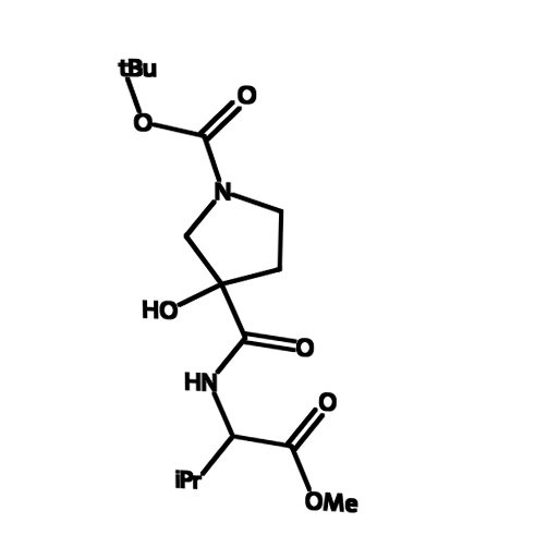 COC(=O)C(NC(=O)C1(O)CCN(C(=O)OC(C)(C)C)C1)C(C)C